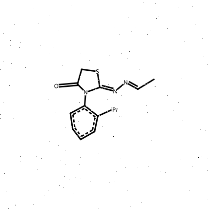 C/C=N/N=C1\SCC(=O)N1c1ccccc1C(C)C